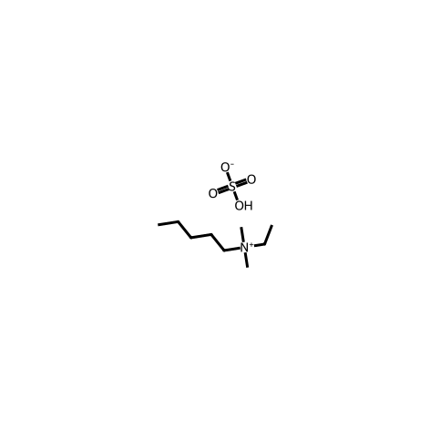 CCCCC[N+](C)(C)CC.O=S(=O)([O-])O